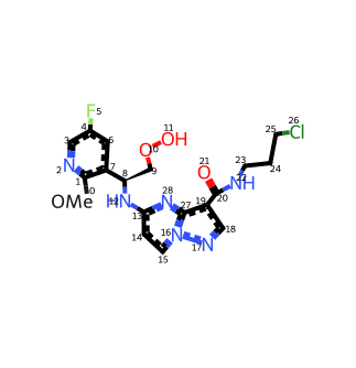 COc1ncc(F)cc1[C@@H](COO)Nc1ccn2ncc(C(=O)NCCCCl)c2n1